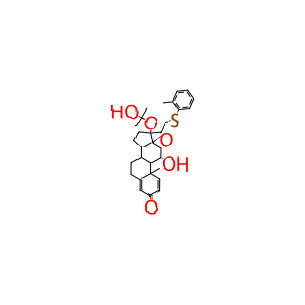 Cc1ccccc1SCC(=O)[C@@]1(OC(C)(C)O)CCC2C3CCC4=CC(=O)C=CC4(C)C3[C@@H](O)CC21C